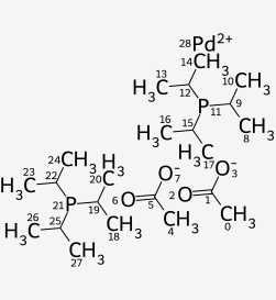 CC(=O)[O-].CC(=O)[O-].CC(C)P(C(C)C)C(C)C.CC(C)P(C(C)C)C(C)C.[Pd+2]